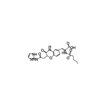 CCCCS(=O)(=O)N[C@@H](Cc1ccc2c(c1)NC(=O)C(CC(=O)Nc1ncc[nH]1)O2)C(=O)O